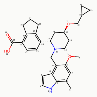 COc1cc(C)c2[nH]ccc2c1CN1CC[C@H](OCC2CC2)C[C@H]1c1ccc(C(=O)O)c2c1CCC2